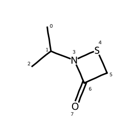 CC(C)N1SCC1=O